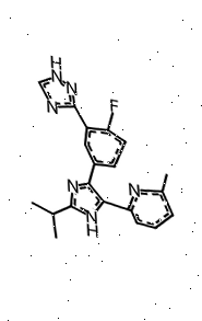 Cc1cccc(-c2[nH]c(C(C)C)nc2-c2ccc(F)c(-c3nc[nH]n3)c2)n1